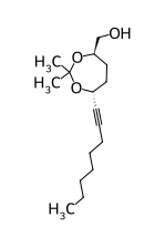 CCCCCCC#C[C@H]1CC[C@H](CO)OC(C)(C)O1